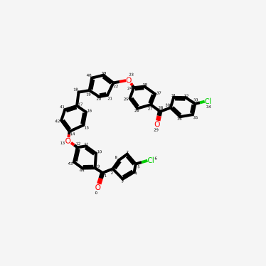 O=C(c1ccc(Cl)cc1)c1ccc(Oc2ccc(Cc3ccc(Oc4ccc(C(=O)c5ccc(Cl)cc5)cc4)cc3)cc2)cc1